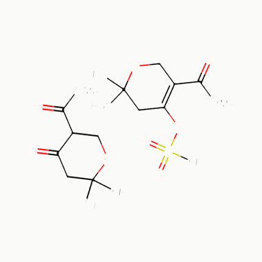 COC(=O)C1=C(OS(=O)(=O)C(F)(F)F)CC(C)(C)OC1.COC(=O)C1COC(C)(C)CC1=O